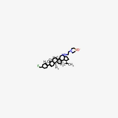 C=C(C)[C@@H]1CCC2(NCCN3CC[S+]([O-])CC3)CC[C@]3(C)C(CCC4C5(C)CC=C(C6=CCC(CF)CC6)C(C)(C)C5CCC43C)C12